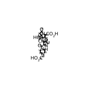 C[C@@H](O)[C@]1(C)C(S[C@@H]2CN[C@H](C(=O)N3CCN(CC(=O)O)CC3)C2)=C(C(=O)O)N2C(=O)C[C@H]21